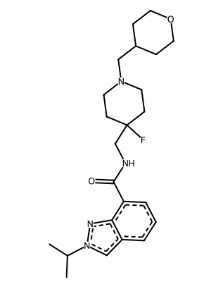 CC(C)n1cc2cccc(C(=O)NCC3(F)CCN(CC4CCOCC4)CC3)c2n1